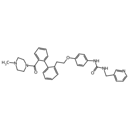 CN1CCN(C(=O)c2ccccc2-c2ccccc2CCOc2ccc(NC(=O)NCc3cccnc3)cc2)CC1